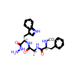 C[C@@H](NC(=O)[C@H](Cc1ccccc1)NC(=O)O)C(=O)N[C@@H](Cc1c[nH]c2ccccc12)C(=O)NN